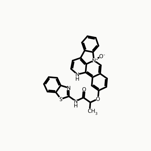 CC(Oc1ccc2c(c1)=C1NC=CC3=C1[N+]([O-])(C=2)c1ccccc13)C(=O)Nc1nc2ccccc2s1